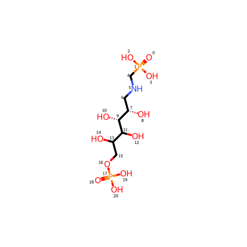 O=P(O)(O)CNC[C@H](O)[C@@H](O)C(O)C(O)COP(=O)(O)O